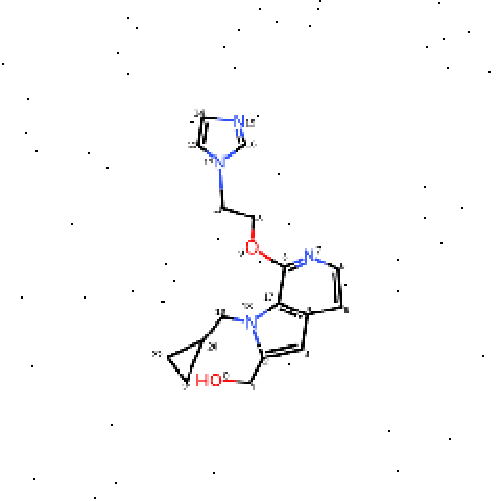 OCc1cc2ccnc(OCCn3ccnc3)c2n1CC1CC1